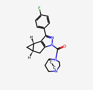 O=C(N1CCN2CCC1CC2)n1nc(-c2ccc(F)cc2)c2c1C[C@@H]1C[C@H]21